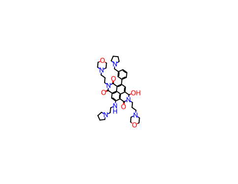 O=C1c2cc(NCCN3CCCC3)c3c4c(cc(-c5cccc(CN6CCCC6)c5)c(c24)C(=O)N1CCCN1CCOCC1)C(O)N(CCCN1CCOCC1)C3=O